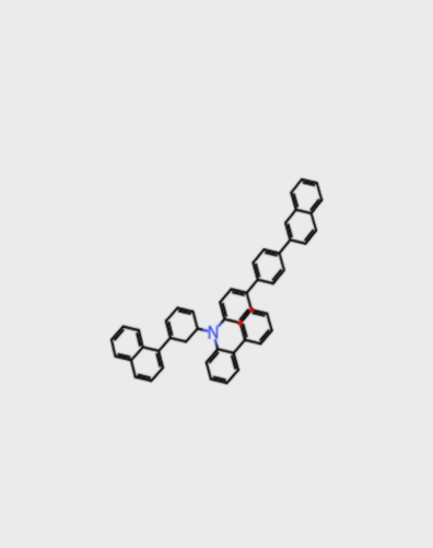 C1=CC(N(c2ccc(-c3ccc(-c4ccc5ccccc5c4)cc3)cc2)c2ccccc2-c2ccccc2)CC(c2cccc3ccccc23)=C1